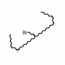 CCCCC/C=C\C/C=C\CCCCCCCCC(=CCCBr)CCCCCCCC/C=C\C/C=C\CCCCC